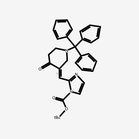 CC(C)(C)OC(=O)n1ccnc1/C=C1\CN(C(c2ccccc2)(c2ccccc2)c2ccccc2)CCC1=O